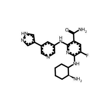 NC(=O)c1cc(F)c(NC2CCCC[C@@H]2N)nc1Nc1cncc(-c2cn[nH]c2)c1